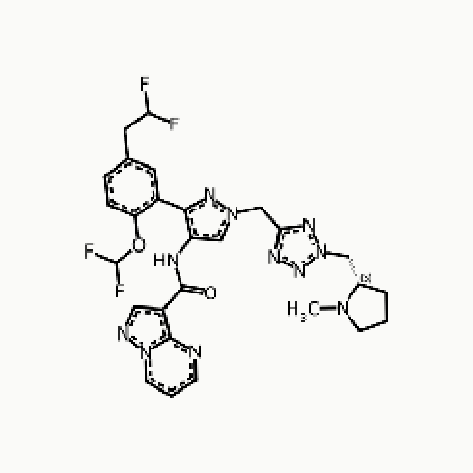 CN1CCC[C@H]1Cn1nnc(Cn2cc(NC(=O)c3cnn4cccnc34)c(-c3cc(CC(F)F)ccc3OC(F)F)n2)n1